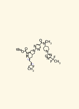 C=C/C(F)=C\C=C(\F)CC1CN(c2ncc(C(=O)N(C)C3CCN(c4nc(C(C)(F)F)no4)CC3)cn2)C[C@@H]1NC(=O)OC(C)(C)C